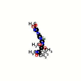 COC(=O)c1ccc(N2CC3(CCN(C4CCN(Cc5c(OC)cc(-c6cn(C)c(=O)c(C)c6C)cc5OC)CC4(F)F)CC3)C2)cn1